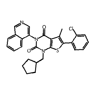 Cc1c(-c2ccccc2Cl)sc2c1c(=O)n(-c1cncc3ccccc13)c(=O)n2CC1CCCC1